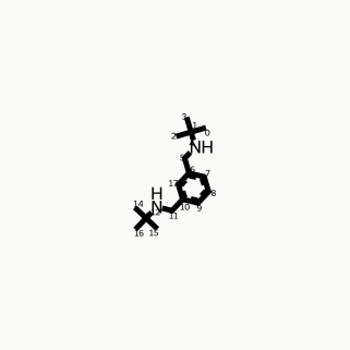 CC(C)(C)NCc1cccc(CNC(C)(C)C)c1